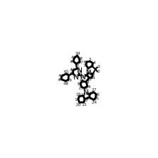 CC1(C)c2ccccc2-n2c1cc1c3cc(-n4c5ccccc5c5ccccc54)ccc3n(-c3nc(-c4ccccc4)cc(-c4ccccc4)n3)c12